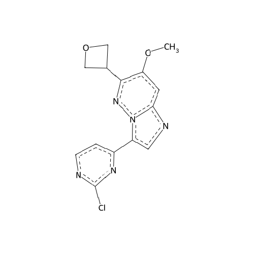 COc1cc2ncc(-c3ccnc(Cl)n3)n2nc1C1COC1